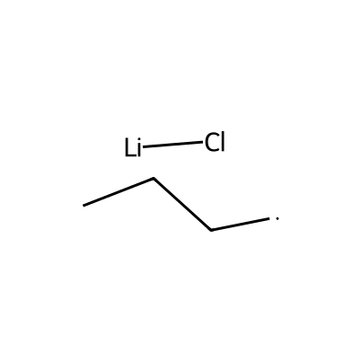 [CH2]CCC.[Li][Cl]